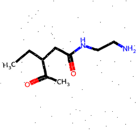 CCC(CC(=O)NCCN)C(C)=O